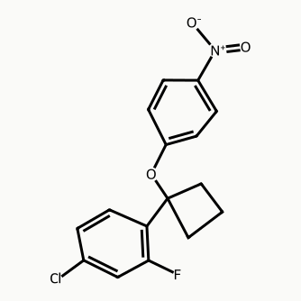 O=[N+]([O-])c1ccc(OC2(c3ccc(Cl)cc3F)CCC2)cc1